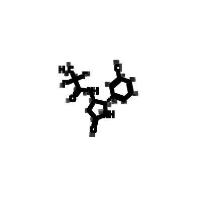 CC(F)(F)C(=O)N[C@@H]1CC(=O)N[C@H]1c1cccc(Cl)c1